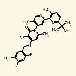 Cc1cc(COc2cc(C)n(-c3cc(-c4nc(C(C)(C)O)ccc4C)ncc3C)c(=O)c2Cl)c(F)cc1F